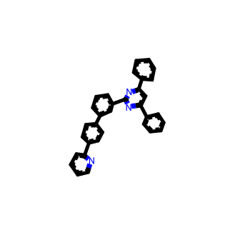 c1ccc(-c2cc(-c3ccccc3)nc(-c3cccc(-c4ccc(-c5ccccn5)cc4)c3)n2)cc1